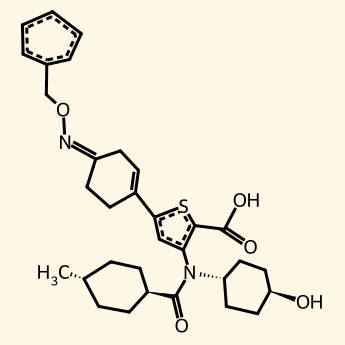 C[C@H]1CC[C@H](C(=O)N(c2cc(C3=CCC(=NOCc4ccccc4)CC3)sc2C(=O)O)[C@H]2CC[C@H](O)CC2)CC1